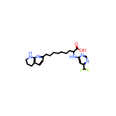 O=C(O)C(CCCCCCCc1ccc2c(n1)NCCC2)Nc1cc(C(F)F)ncn1